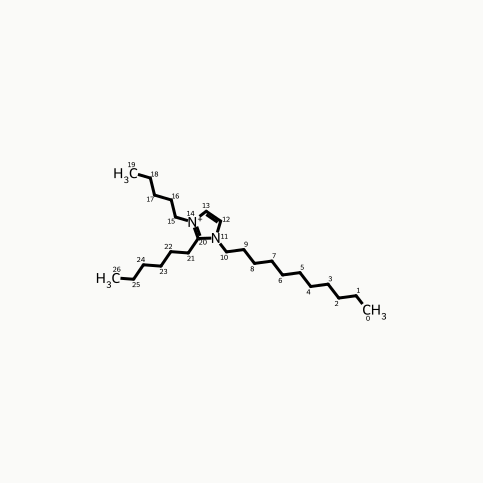 CCCCCCCCCCCn1cc[n+](CCCCC)c1CCCCCC